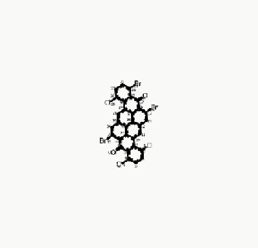 O=c1c2c(Cl)ccc(Cl)c2c2cc3cc(Br)c4c(=O)c5c(Br)ccc(Cl)c5c5cc6cc(Br)c1c2c6c3c45